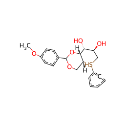 COc1ccc(C2OC[C@@H]3[C@H](O2)[C@H](O)[C@@H](O)C[SH]3c2ccccc2)cc1